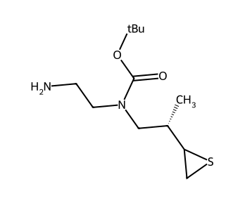 C[C@@H](CN(CCN)C(=O)OC(C)(C)C)C1CS1